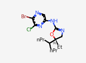 CCCC(CCC)[C@@]1(CC)CN=C(Nc2cnc(Br)c(Cl)n2)O1